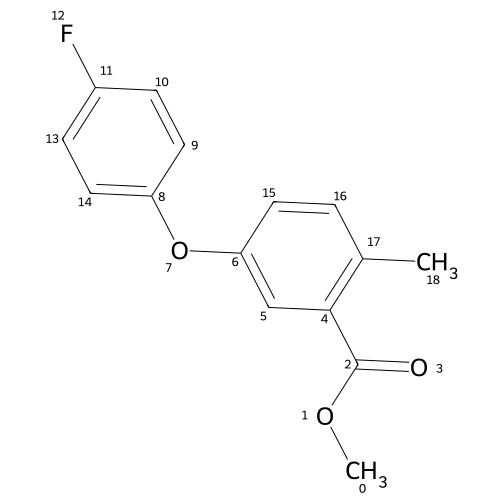 COC(=O)c1cc(Oc2ccc(F)cc2)ccc1C